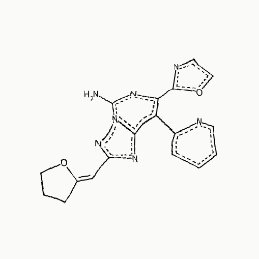 Nc1nc(-c2ncco2)c(-c2ccccn2)c2nc(C=C3CCCO3)nn12